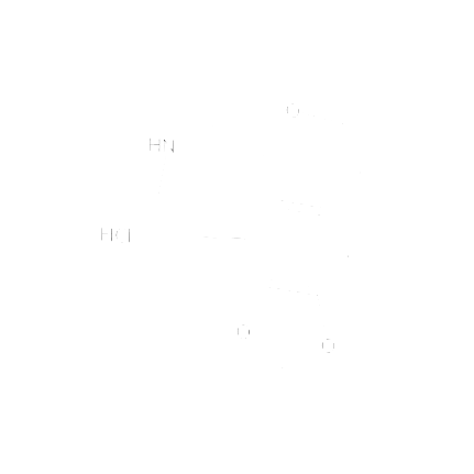 Cl.c1c2c3c(c4c1OCO4)CCNCC3OCC2